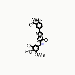 CNC(=O)c1cccc(-c2cn3c(=O)/c(=C/c4cc(Cl)c(O)c(OC)c4)sc3n2)c1